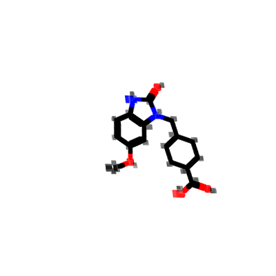 COc1ccc2[nH]c(=O)n(CC3CCC(C(=O)O)CC3)c2c1